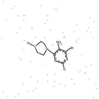 CC(C)c1nc(Cl)nc(N2CC[S+]([O-])CC2)c1[N+](=O)[O-]